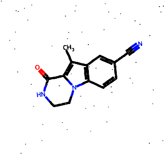 Cc1c2n(c3ccc(C#N)cc13)CCNC2=O